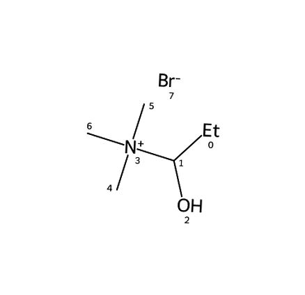 CCC(O)[N+](C)(C)C.[Br-]